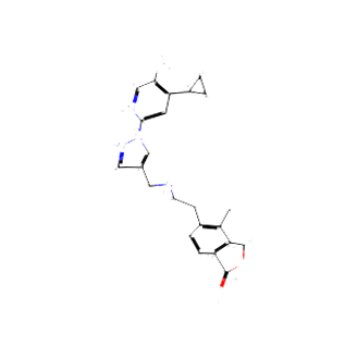 Cc1c(CCNCc2cnn(-c3cc(C4CC4)c(C#N)cn3)c2)ccc2c1COC2=O